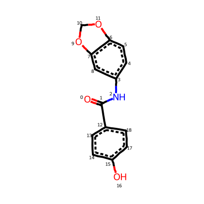 O=C(Nc1ccc2c(c1)OCO2)c1ccc(O)cc1